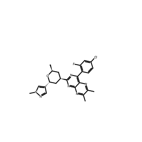 Cc1nc2nc([C@@H]3C[C@H](C)O[C@@H](c4cnn(C)c4)C3)nc(-c3ccc(Cl)cc3F)c2nc1C